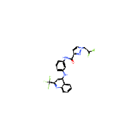 O=C(Nc1cccc(Nc2cc(C(F)(F)F)nc3ccccc23)c1)c1ccn(CC(F)F)n1